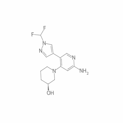 Nc1cc(N2CCC[C@H](O)C2)c(-c2cnn(C(F)F)c2)cn1